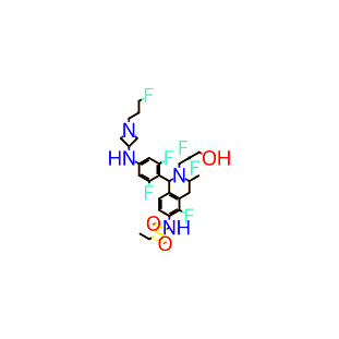 CCS(=O)(=O)Nc1ccc2c(c1F)CC(C)N(CC(F)(F)CO)C2c1c(F)cc(NC2CN(CCCF)C2)cc1F